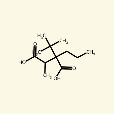 CCCC(C(=O)O)(C(C)C(=O)O)C(C)(C)C